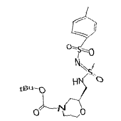 Cc1ccc(S(=O)(=O)N=S(C)(=O)NC[C@@H]2CN(C(=O)OC(C)(C)C)CCO2)cc1